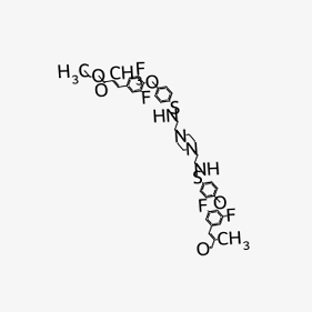 CCOC(=O)/C(C)=C/c1cc(F)c(Oc2ccc(SNCCN3CCN(CCNSc4ccc(Oc5c(F)cc(/C=C(\C)C=O)cc5F)cc4)CC3)cc2)c(F)c1